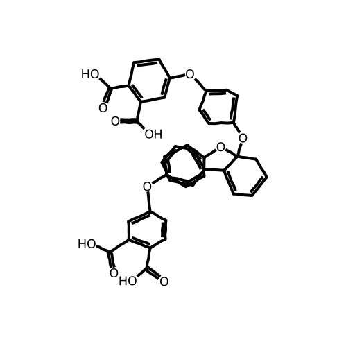 O=C(O)c1ccc(Oc2ccc(OC3(Oc4ccc(Oc5ccc(C(=O)O)c(C(=O)O)c5)cc4)CC=CC=C3c3ccccc3)cc2)cc1C(=O)O